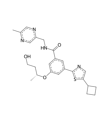 Cc1cnc(CNC(=O)c2cc(O[C@H](C)CCO)cc(-c3ncc(C4CCC4)s3)c2)cn1